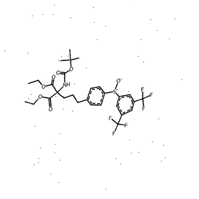 CCOC(=O)C(CCCc1ccc([S+]([O-])c2cc(C(F)(F)F)cc(C(F)(F)F)c2)cc1)(NC(=O)OC(C)(C)C)C(=O)OCC